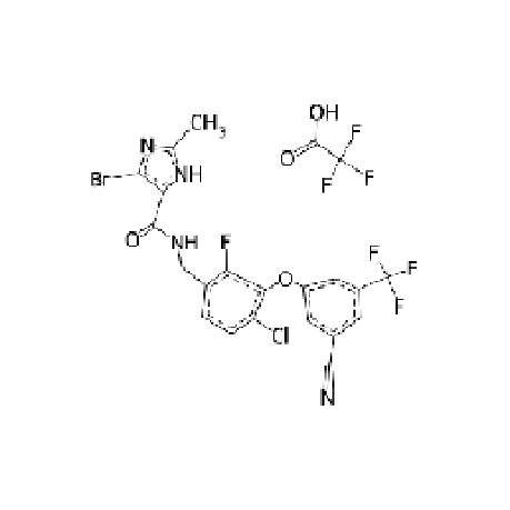 Cc1nc(Br)c(C(=O)NCc2ccc(Cl)c(Oc3cc(C#N)cc(C(F)(F)F)c3)c2F)[nH]1.O=C(O)C(F)(F)F